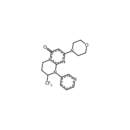 O=c1cc(N2CCOCC2)nc2n1CCC(C(F)(F)F)N2c1cccnc1